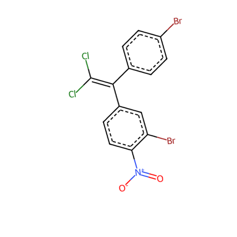 O=[N+]([O-])c1ccc(C(=C(Cl)Cl)c2ccc(Br)cc2)cc1Br